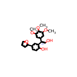 COc1cc(/C(=C\O)c2cc(-c3ccco3)ccc2O)cc(OC)c1OC